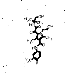 Cc1cc(NC(=O)c2c(C)c(C(=O)C(=O)NC(C)(C)CO)n(CCO)c2C)ccc1F